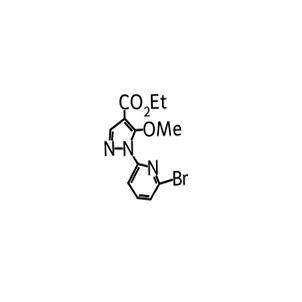 CCOC(=O)c1cnn(-c2cccc(Br)n2)c1OC